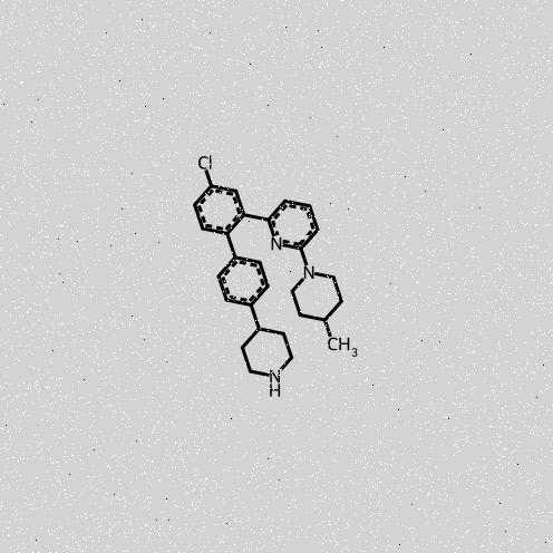 CC1CCN(c2cccc(-c3cc(Cl)ccc3-c3ccc(C4CCNCC4)cc3)n2)CC1